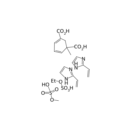 C=Cc1ncc[nH]1.C=Cc1ncc[nH]1.CC1(C(=O)O)C=CC=C(C(=O)O)C1.CCOS(=O)(=O)O.COS(=O)(=O)O